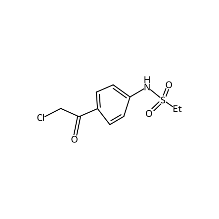 CCS(=O)(=O)Nc1ccc(C(=O)CCl)cc1